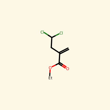 C=C(CC(Cl)Cl)C(=O)OCC